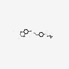 CC1(C(=O)Nc2ccc(CCOC(=O)c3ccc4c(c3)C(C)(C)CCC4(C)C)cc2)CC1